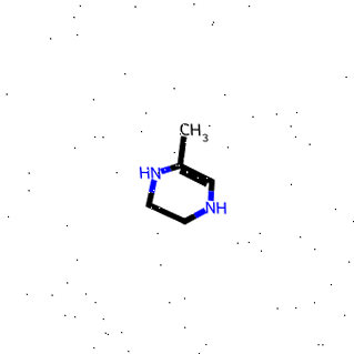 CC1=CNCCN1